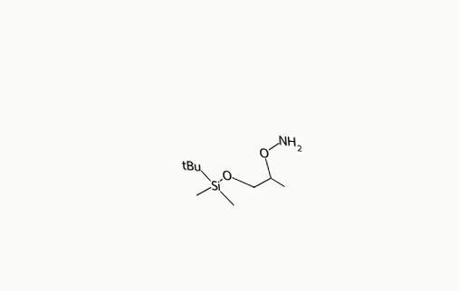 CC(CO[Si](C)(C)C(C)(C)C)ON